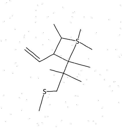 C=CC1C(C)S(C)(C)C1(C)C(C)(C)CSC